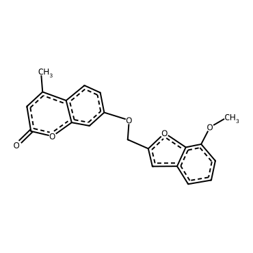 COc1cccc2cc(COc3ccc4c(C)cc(=O)oc4c3)oc12